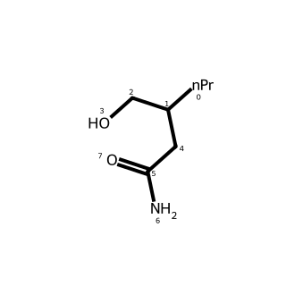 CCCC(CO)CC(N)=O